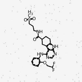 CS(=O)(=O)CCCNC(=O)C1CCc2[nH]c3ncnc(Nc4ccccc4OCC(F)F)c3c2C1